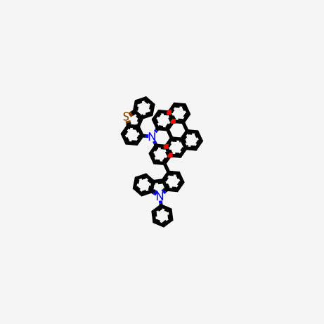 c1ccc(-c2cccc3cccc(-c4ccccc4N(c4ccc(-c5cccc6c5c5ccccc5n6-c5ccccc5)cc4)c4cccc5sc6ccccc6c45)c23)cc1